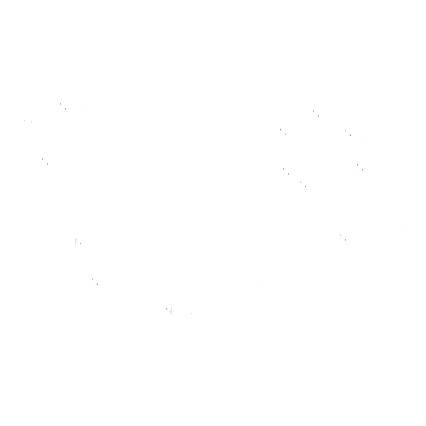 CC(C)n1nc(-c2noc(C3CC3)c2-c2ccc(CCOCCCC(=O)N3CCC(CN4CCN(c5ccc(NC6CCC(=O)NC6=O)cc5F)CC4)CC3)cn2)c2c(N)ncnc21